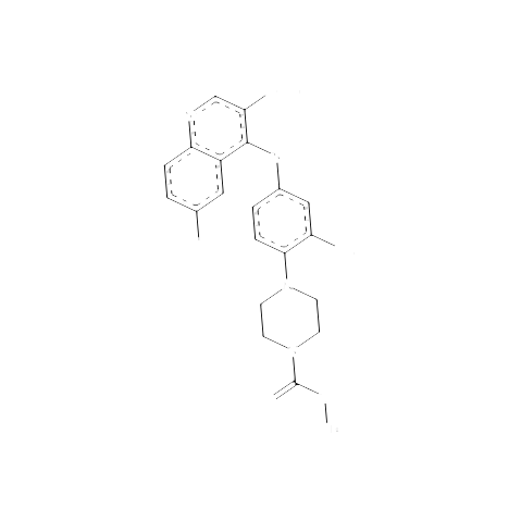 CCOC(=O)c1cnc2ccc(Cl)cc2c1Nc1ccc(N2CCN(C(=O)OC(C)(C)C)CC2)c(C(F)(F)F)c1